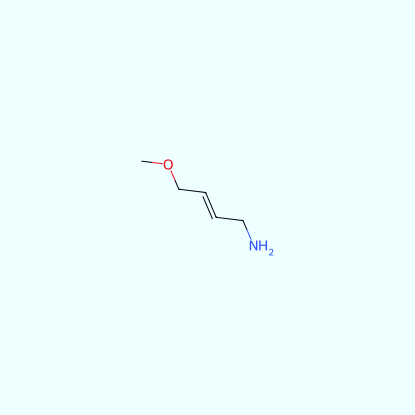 COC/C=C/CN